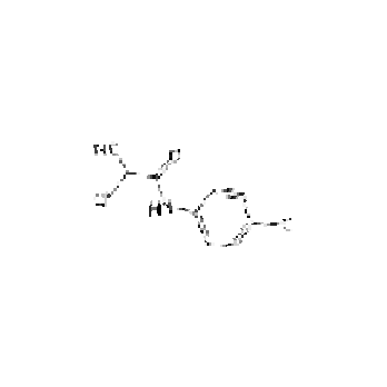 N#CC(Cl)C(=O)Nc1ccc(Cl)cc1